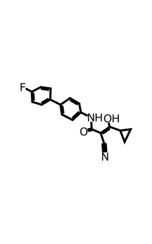 N#CC(C(=O)Nc1ccc(-c2ccc(F)cc2)cc1)=C(O)C1CC1